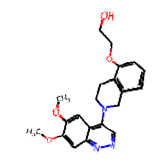 COc1cc2nncc(N3CCc4c(cccc4OCCO)C3)c2cc1OC